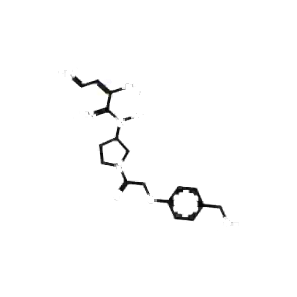 CC(=O)N(C(=N)/C(=C\C=N)C(F)(F)F)C1CCN(C(=O)COc2ccc(CO)cc2)C1